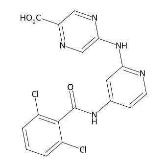 O=C(O)c1cnc(Nc2cc(NC(=O)c3c(Cl)cccc3Cl)ccn2)cn1